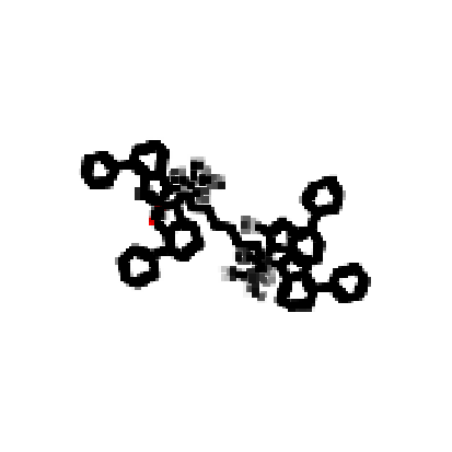 CC[SiH2][Zr]([Cl])([Cl])([CH2]CCCC[CH2][Zr]([Cl])([Cl])([SiH2]CC)([CH]1C(CC)=Cc2c(-c3ccccc3)cccc21)[CH]1C(CC)=Cc2c(-c3ccccc3)cccc21)([CH]1C(CC)=Cc2c(-c3ccccc3)cccc21)[CH]1C(CC)=Cc2c(-c3ccccc3)cccc21